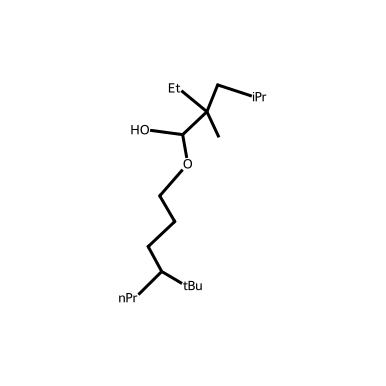 CCCC(CCCOC(O)C(C)(CC)CC(C)C)C(C)(C)C